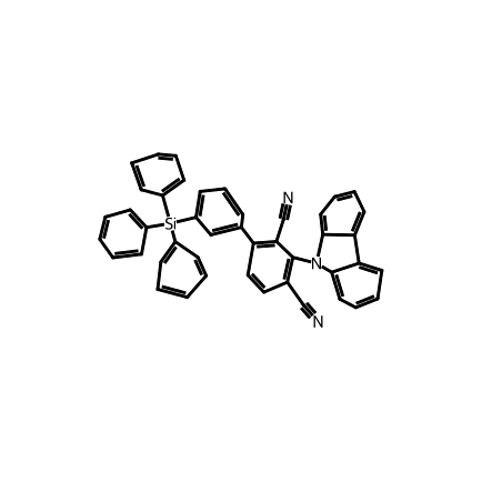 N#Cc1ccc(-c2cccc([Si](c3ccccc3)(c3ccccc3)c3ccccc3)c2)c(C#N)c1-n1c2ccccc2c2ccccc21